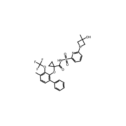 Cc1ccc(-c2ccccc2)c(OC2(C(=O)NS(=O)(=O)c3cccc(N4CC(C)(O)C4)n3)CC2)c1OC(F)(F)F